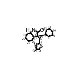 Cc1csc(C2C(c3ccccc3)C2(C(N)=O)c2ccccc2)n1